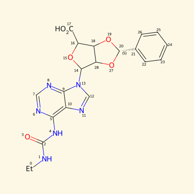 CCNC(=O)Nc1ncnc2c1ncn2C1OC(C(=O)O)C2O[C@H](c3ccccc3)OC21